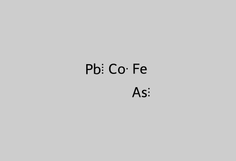 [As].[Co].[Fe].[Pb]